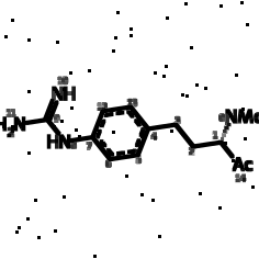 CN[C@@H](CCc1ccc(NC(=N)N)cc1)C(C)=O